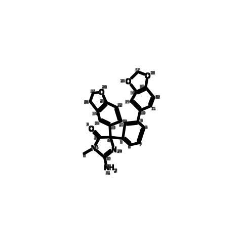 CN1C(=O)C(c2cccc(-c3ccc4c(c3)OCO4)c2)(c2ccc3c(c2)CCO3)N=C1N